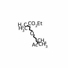 CCOC(=O)C(C)(C)CCCOCCCCC(C)(C)C(C)=O